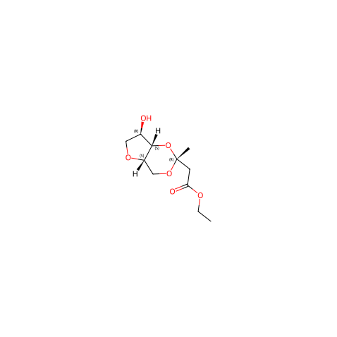 CCOC(=O)C[C@]1(C)OC[C@@H]2OC[C@@H](O)[C@@H]2O1